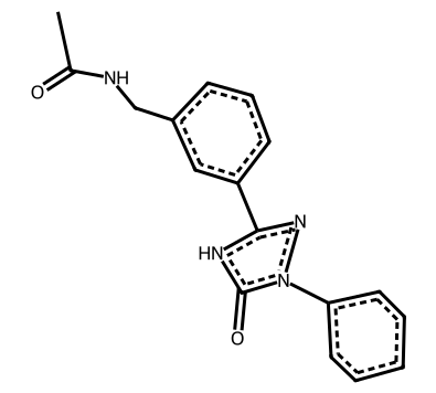 CC(=O)NCc1cccc(-c2nn(-c3ccccc3)c(=O)[nH]2)c1